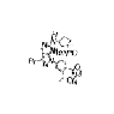 CNC(=O)[C@]1(C)CC[C@@H](Nc2ncc3c(Br)nn(-c4ccc(-c5ncco5)c([C@@H](C)C#N)c4)c3n2)C1